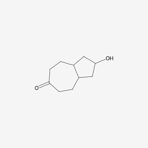 O=C1CCC2CC(O)CC2CC1